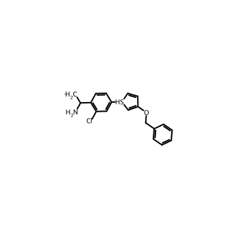 [CH2]C(N)c1ccc([SH]2C=CC(OCc3ccccc3)=C2)cc1Cl